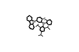 CC(C)c1cc(C(C)C)c(B2c3ccccc3Sc3ccc(-n4c5ccccc5c5ccccc54)cc32)c(C(C)C)c1